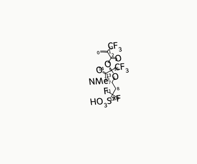 C=C(C(=O)OC(OCCC(F)(F)S(=O)(=O)O)(C(=O)NC)C(F)(F)F)C(F)(F)F